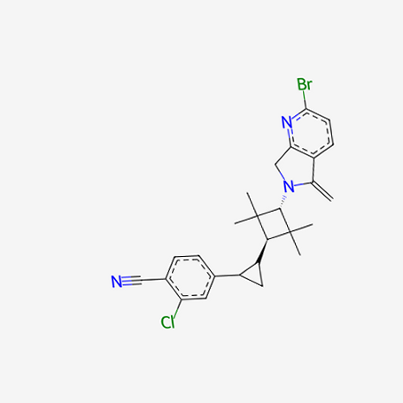 C=C1c2ccc(Br)nc2CN1[C@H]1C(C)(C)[C@H](C2CC2c2ccc(C#N)c(Cl)c2)C1(C)C